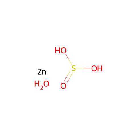 O.O=S(O)O.[Zn]